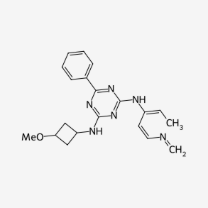 C=N/C=C\C(=C/C)Nc1nc(NC2CC(OC)C2)nc(-c2ccccc2)n1